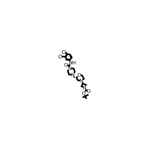 CC(C)(C)OC(=O)N1CC(N2CCO[C@@H](CN3CCN(C(=O)Nc4ccc(Cl)c(Cl)c4)CC3)C2)C1